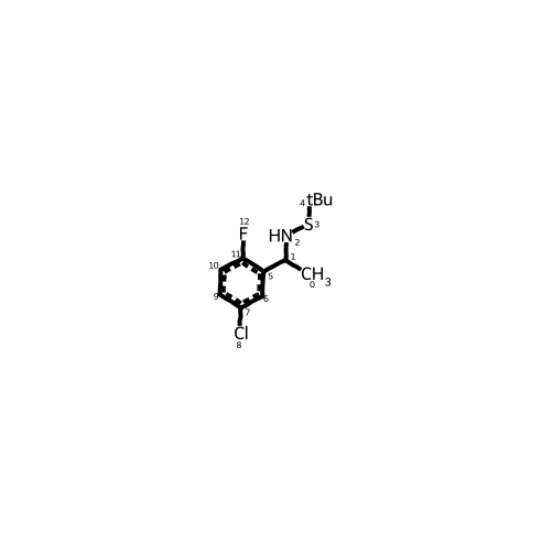 CC(NSC(C)(C)C)c1cc(Cl)ccc1F